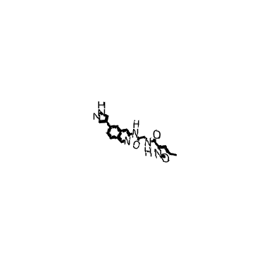 Cc1cc(C(=O)NCC(=O)Nc2cc3cc(-c4cn[nH]c4)ccc3cn2)no1